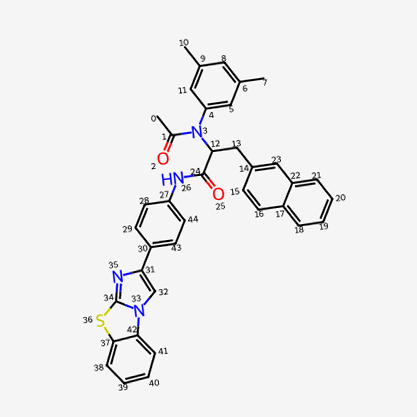 CC(=O)N(c1cc(C)cc(C)c1)C(Cc1ccc2ccccc2c1)C(=O)Nc1ccc(-c2cn3c(n2)sc2ccccc23)cc1